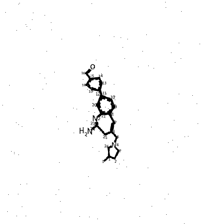 CC1CCN(CC2=Cc3ccc(-c4ccc(C=O)cc4)cc3N=C(N)C2)C1